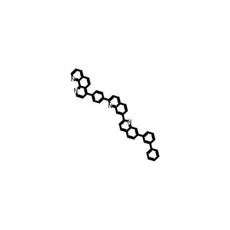 c1ccc(-c2cccc(-c3ccc4ccc(-c5ccc6ccc(-c7ccc(-c8ccnc9c8ccc8cccnc89)cc7)nc6c5)nc4c3)c2)cc1